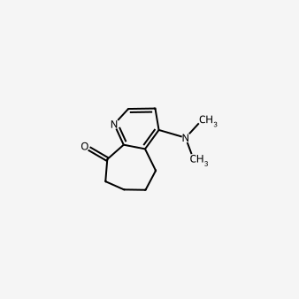 CN(C)c1ccnc2c1CCCCC2=O